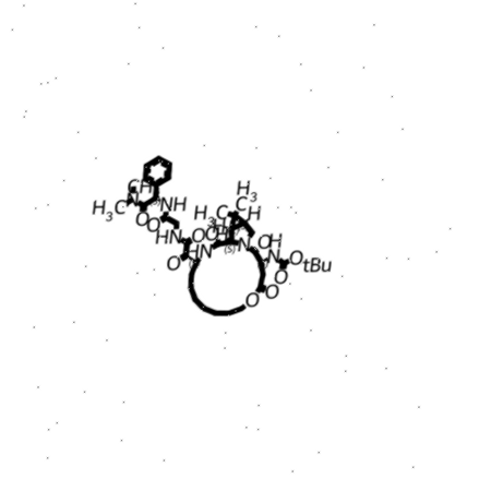 CN(C)C(=O)[C@@H](NC(=O)CNC(=O)C(=O)[C@@H]1CCCCCCCOC(=O)C[C@H](NC(=O)OC(C)(C)C)C(=O)N2C[C@H]3[C@@H]([C@H]2C(=O)N1)C3(C)C)c1ccccc1